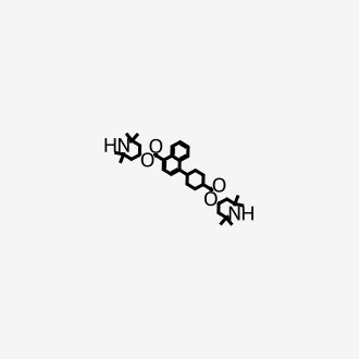 CC1(C)CC(OC(=O)c2ccc(C3CCC(C(=O)OC4CC(C)(C)NC(C)(C)C4)CC3)c3ccccc23)CC(C)(C)N1